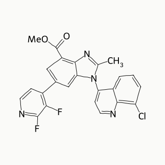 COC(=O)c1cc(-c2ccnc(F)c2F)cc2c1nc(C)n2-c1ccnc2c(Cl)cccc12